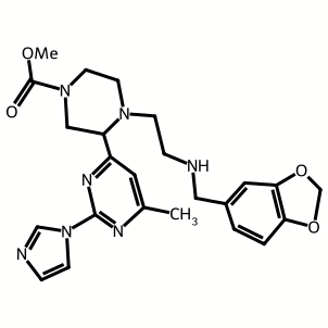 COC(=O)N1CCN(CCNCc2ccc3c(c2)OCO3)C(c2cc(C)nc(-n3ccnc3)n2)C1